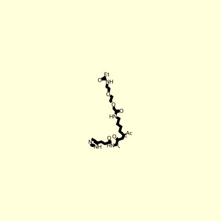 CCC(=O)NCCOCCOCC(=O)NCCCC[C@H](CC(=O)[C@H](C)NC(=O)CCc1cnc[nH]1)C(C)=O